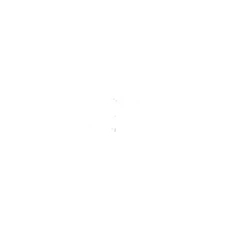 CN[Si](N)(C1CCCCC1)C1CCCC1